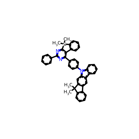 CC1(C)c2ccccc2-c2cc3c4ccccc4n(-c4ccc(-c5nc(-c6ccccc6)nc6c5-c5ccccc5[Si]6(C)C)cc4)c3cc21